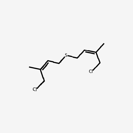 CC(=CCSCC=C(C)CCl)CCl